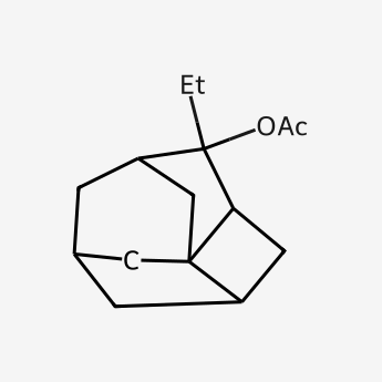 CCC1(OC(C)=O)C2CC3CC4CC1C4(C3)C2